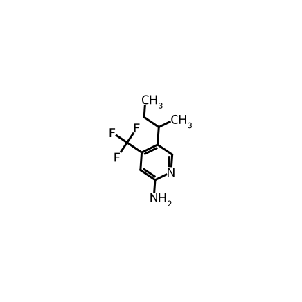 CCC(C)c1cnc(N)cc1C(F)(F)F